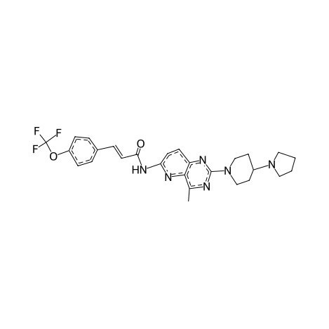 Cc1nc(N2CCC(N3CCCC3)CC2)nc2ccc(NC(=O)C=Cc3ccc(OC(F)(F)F)cc3)nc12